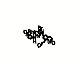 CNC(=O)[C@]1(C)CC[C@@H](Nc2ncc3c(Br)nn(-c4cc(CCCOC)c5c(c4)CCC(=O)N5C)c3n2)C1